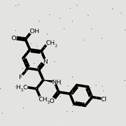 Cc1nc([C@@H](NC(=O)c2ccc(Cl)cc2)C(C)C)c(F)cc1C(=O)O